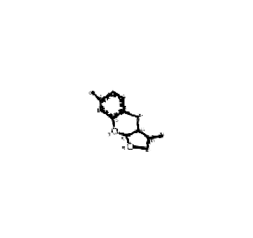 Cc1ccc2c(c1)OC1OCC(C)C1C2